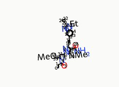 C=CC(=O)N1C[C@@H](n2nc(C#Cc3ccc4c(c3)nc(C3CC3)n4CC)c(C(N)=O)c2NC)C[C@@H]1COC